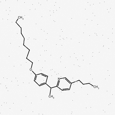 CCCCCCCCCOc1ccc(C(C)c2ccc(CCCC)cn2)cc1